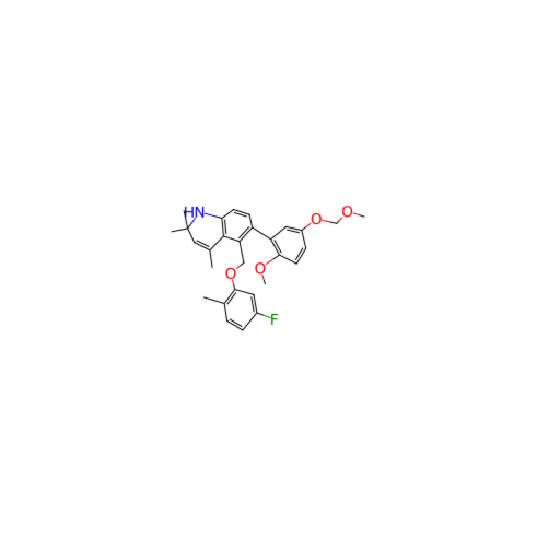 COCOc1ccc(OC)c(-c2ccc3c(c2COc2cc(F)ccc2C)C(C)=CC(C)(C)N3)c1